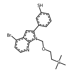 C[Si](C)(C)CCOCn1c(-c2cccc(S)c2)cc2c(Br)ccnc21